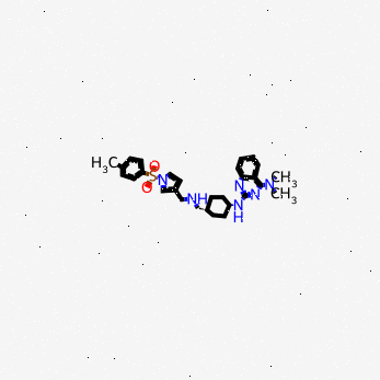 Cc1ccc(S(=O)(=O)n2ccc(CNC[C@H]3CC[C@@H](Nc4nc(N(C)C)c5ccccc5n4)CC3)c2)cc1